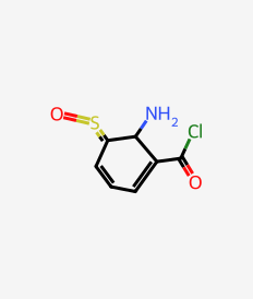 NC1C(C(=O)Cl)=CC=CC1=S=O